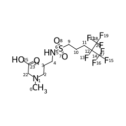 CN(CCCNS(=O)(=O)CCCC(F)(C(F)(F)F)C(F)(F)F)CC(=O)O